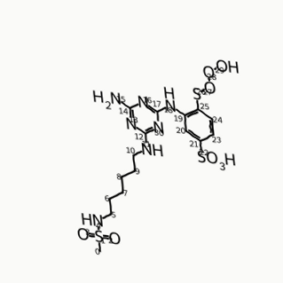 CS(=O)(=O)NCCCCCCNc1nc(N)nc(Nc2cc(S(=O)(=O)O)ccc2SOOO)n1